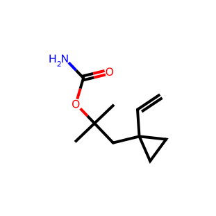 C=CC1(CC(C)(C)OC(N)=O)CC1